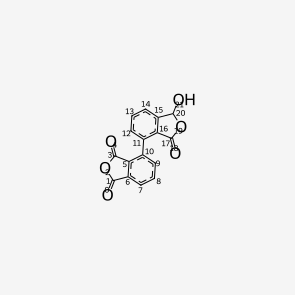 O=C1OC(=O)c2c1cccc2-c1cccc2c1C(=O)OC2O